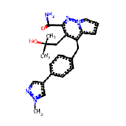 Cn1cc(-c2ccc(Cc3c(CC(C)(C)O)c(C(N)=O)nn4cccc34)cc2)cn1